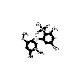 COc1ccn(N)c(=N)c1.Cc1cc(C)c(S(=O)(=O)O)c(C)c1